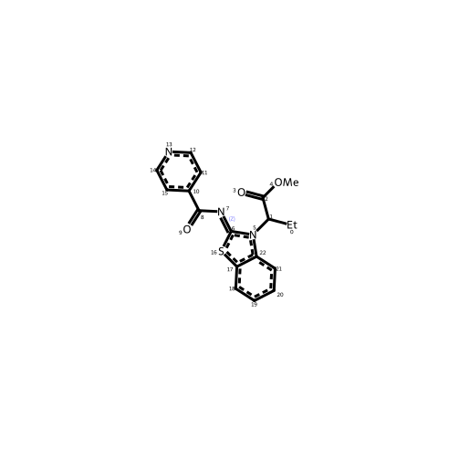 CCC(C(=O)OC)n1/c(=N/C(=O)c2ccncc2)sc2ccccc21